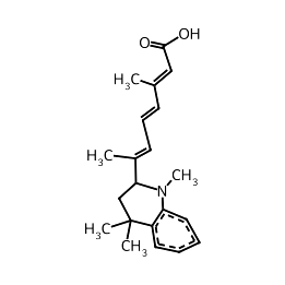 CC(/C=C/C=C(\C)C1CC(C)(C)c2ccccc2N1C)=C\C(=O)O